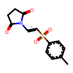 Cc1ccc(S(=O)(=O)/C=C/N2C(=O)CCC2=O)cc1